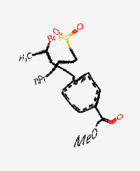 CCCC(C[SH](=O)=O)(c1ccc(C(=O)OC)cc1)C(C)Br